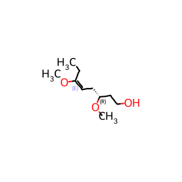 CC/C(=C\C[C@H](CCO)OC)OC